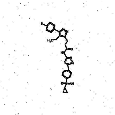 CCn1c(SCC(=O)Nc2nnc(-c3ccc(S(=N)(=O)C4CC4)cc3)s2)nnc1-c1ccc(F)cc1